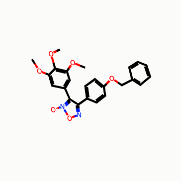 COc1cc(-c2c(-c3ccc(OCc4ccccc4)cc3)no[n+]2[O-])cc(OC)c1OC